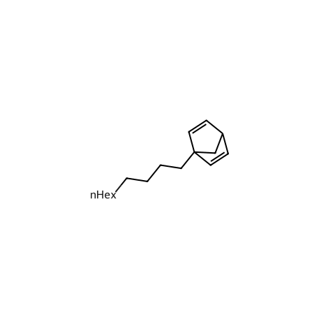 CCCCCCCCCCC12C=CC(C=C1)C2